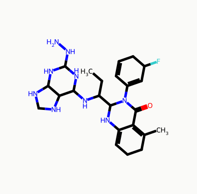 CCC(NC1NC(NN)NC2NCNC21)C1NC2=CCCC(C)=C2C(=O)N1C1=CC(F)CC=C1